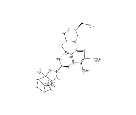 COc1c(C[C@H](NC(=O)C[C@H]2CC[C@H](CN)CC2)B2OC3CC4CC(C4(C)C)C3(C)O2)cccc1C(=O)O